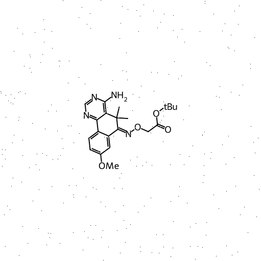 COc1ccc2c(c1)C(=NOCC(=O)OC(C)(C)C)C(C)(C)c1c(N)ncnc1-2